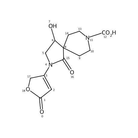 O=C1C=C(N2CC(O)C3(CCN(C(=O)O)CC3)C2=O)CO1